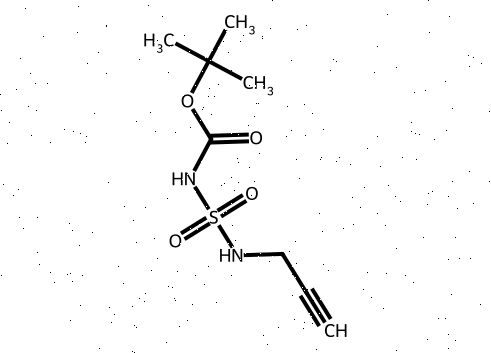 C#CCNS(=O)(=O)NC(=O)OC(C)(C)C